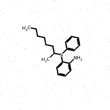 CCCCCCC(C)N(c1ccccc1)c1ccccc1N